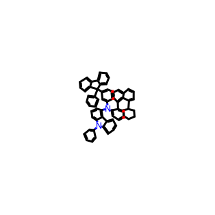 c1ccc(-n2c3ccccc3c3c(N(c4cccc(C5(c6ccccc6)c6ccccc6-c6ccccc65)c4)c4ccccc4-c4cccc5cccc(C6CCCCC6)c45)cccc32)cc1